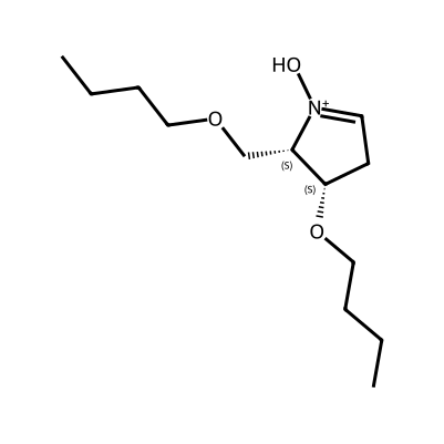 CCCCOC[C@H]1[C@@H](OCCCC)CC=[N+]1O